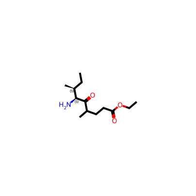 CCOC(=O)CCC(C)C(=O)[C@@H](N)[C@@H](C)CC